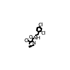 C#C/C=N\C(C(=O)NCCc1ccc(Cl)cc1Cl)=C(/C)Cl